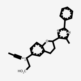 CC#C[C@@H](CC(=O)O)c1ccc2c(c1)CCC(c1sc(-c3ccccc3)nc1C)O2